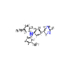 CCCc1cccc(N(c2ccc(-c3cnc(C)nc3)cc2)c2cccc(CCC)c2)c1